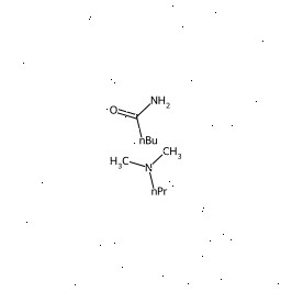 CCCCC(N)=O.CCCN(C)C